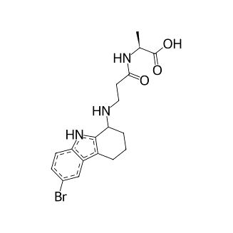 C[C@H](NC(=O)CCNC1CCCc2c1[nH]c1ccc(Br)cc21)C(=O)O